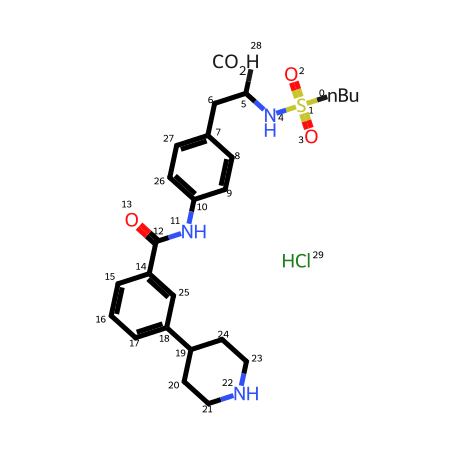 CCCCS(=O)(=O)NC(Cc1ccc(NC(=O)c2cccc(C3CCNCC3)c2)cc1)C(=O)O.Cl